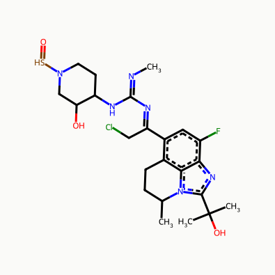 C/N=C(\N=C(/CCl)c1cc(F)c2nc(C(C)(C)O)n3c2c1CCC3C)NC1CCN([SH]=O)CC1O